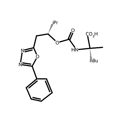 CCCC[C@](C)(NC(=O)O[C@H](Cc1nnc(-c2ccccc2)o1)C(C)C)C(=O)O